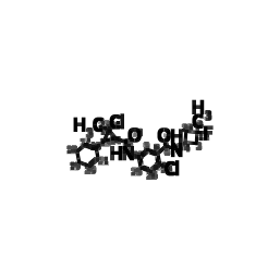 CC1(F)CC(NC(=O)c2cc(NC(=O)C3C(C4=CCCC=C4)C3(C)Cl)ccc2Cl)C1